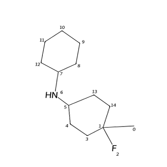 CC1(F)CCC(NC2CCCCC2)CC1